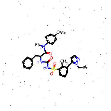 CCN(C(=O)C(Cc1ccccc1)NC(=O)NS(=O)(=O)c1cccc(-c2ccnn2CC(C)C)c1C)c1ccc(OC)cc1